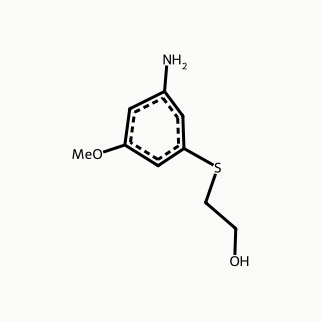 COc1cc(N)cc(SCCO)c1